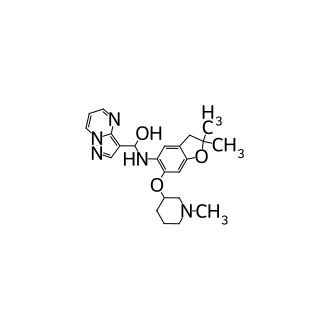 CN1CCCC(Oc2cc3c(cc2NC(O)c2cnn4cccnc24)CC(C)(C)O3)C1